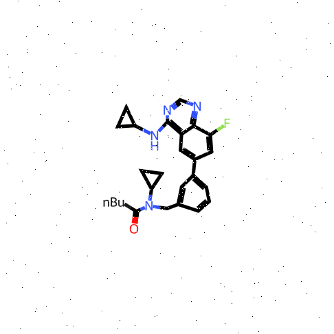 CCCCC(=O)N(Cc1cccc(-c2cc(F)c3ncnc(NC4CC4)c3c2)c1)C1CC1